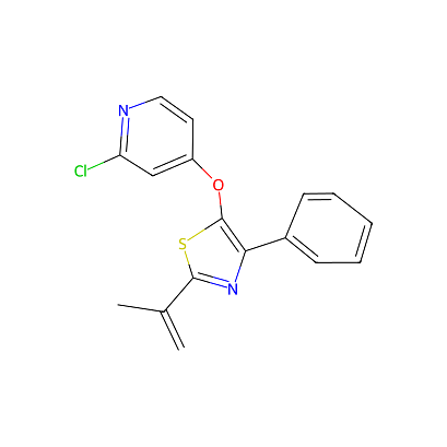 C=C(C)c1nc(-c2ccccc2)c(Oc2ccnc(Cl)c2)s1